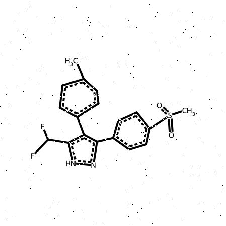 Cc1ccc(-c2c(-c3ccc(S(C)(=O)=O)cc3)n[nH]c2C(F)F)cc1